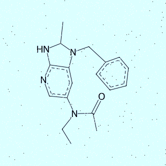 CCN(C(C)=O)c1cnc2c(c1)N(Cc1ccccc1)C(C)N2